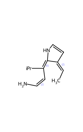 C/C=c1/cc[nH]/c1=C(/C=C\N)C(C)C